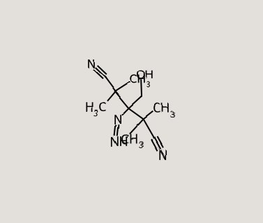 CC(C)(C#N)C(CO)(N=N)C(C)(C)C#N